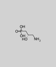 NC[C@H](O)CP(=O)(O)O